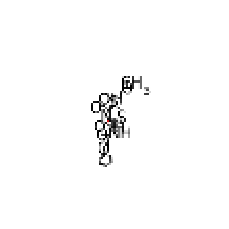 COCCSC1=C(C(=O)O)N2C[C@@H](SC1)[C@H](NC(=O)COc1ccccc1)C2=O